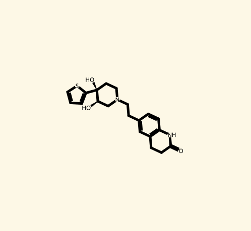 O=C1CCc2cc(CCN3CC[C@@](O)(c4cccs4)[C@H](O)C3)ccc2N1